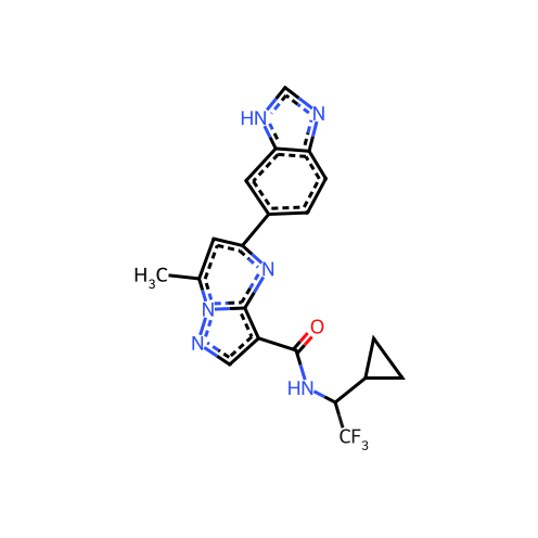 Cc1cc(-c2ccc3nc[nH]c3c2)nc2c(C(=O)NC(C3CC3)C(F)(F)F)cnn12